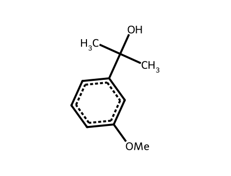 [CH2]Oc1cccc(C(C)(C)O)c1